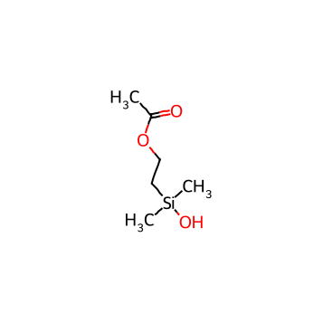 CC(=O)OCC[Si](C)(C)O